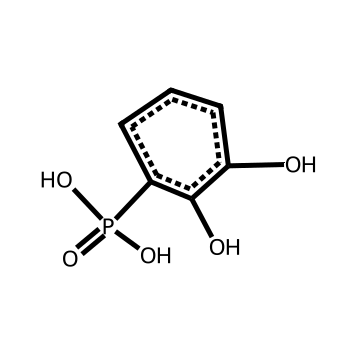 O=P(O)(O)c1cccc(O)c1O